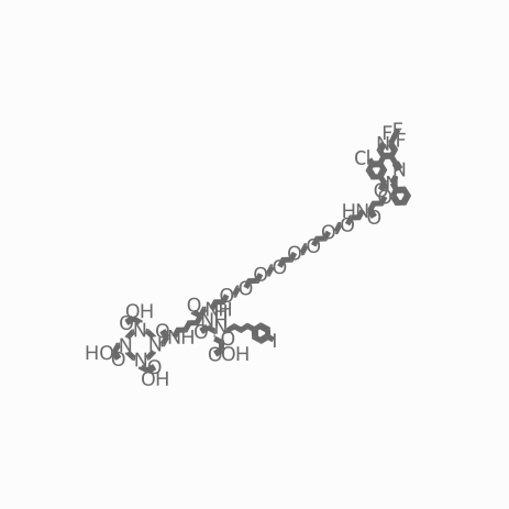 CN(C(=O)c1ccc(Cl)c(-c2cnc(C(F)(F)F)cc2C#N)c1)c1ccccc1OCCC(=O)NCCOCCOCCOCCOCCOCCOCCOCCOCCNCC(C=O)(CCCCNC(=O)CN1CCN(CC(=O)O)CCN(CC(=O)O)CCN(CC(=O)O)CC1)NC(=O)[C@@H](CCC(=O)O)NC(=O)CCCc1ccc(I)cc1